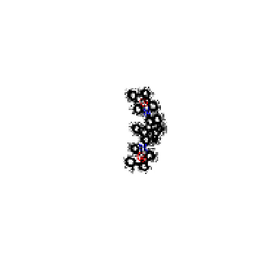 Cc1ccccc1-c1cccc2c1oc1c(N(c3ccccc3)c3ccc4c5c(c6ccccc6c4c3)-c3cc(N(c4ccccc4)c4cccc6c4oc4c(-c7ccccc7C)cccc46)c4ccccc4c3C53c4ccccc4-c4ccccc43)cccc12